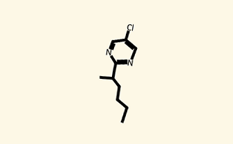 CCCCC(C)c1ncc(Cl)cn1